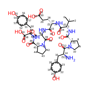 CC(C)[C@H](NC(=O)[C@@H]1CCCN1C(=O)[C@@H](N)Cc1ccc(O)cc1)C(=O)N[C@@H](CCC(=O)O)C(=O)N[C@@H](CO)C(=O)N1CCC[C@H]1C(=O)N[C@@H](Cc1ccc(O)cc1)C(=O)O